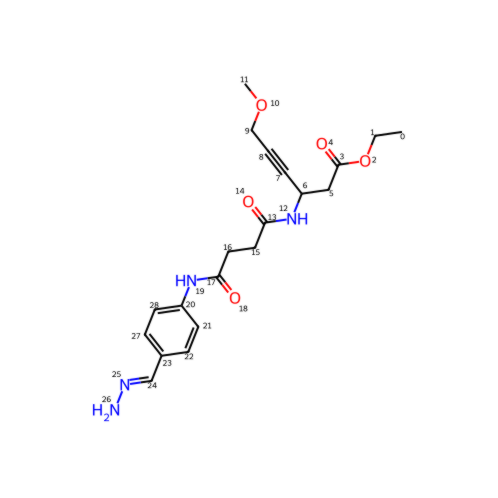 CCOC(=O)CC(C#CCOC)NC(=O)CCC(=O)Nc1ccc(C=NN)cc1